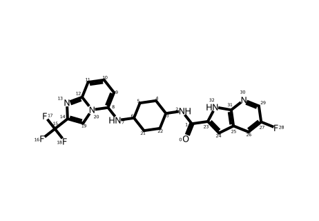 O=C(NC1CCC(Nc2cccc3nc(C(F)(F)F)cn23)CC1)c1cc2cc(F)cnc2[nH]1